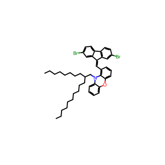 CCCCCCCCCCC(CCCCCCCC)CN1c2ccccc2Oc2cccc(C=C3c4cc(Br)ccc4-c4ccc(Br)cc43)c21